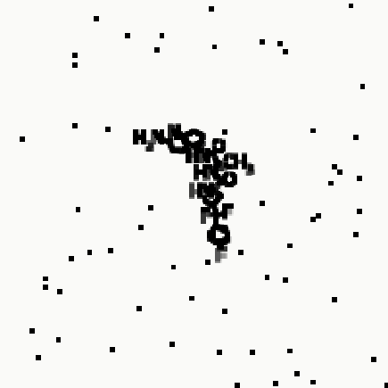 C[C@H](NC(=O)[C@H]1CC(C(F)(F)c2ccc(F)cc2)CN1)C(=O)N[C@@H]1CCc2nc(N)ccc21